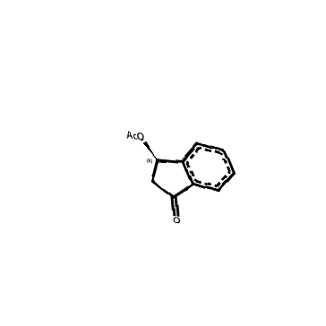 CC(=O)O[C@@H]1CC(=O)c2ccccc21